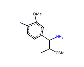 COc1cc(C(N)C(C)OC)ccc1I